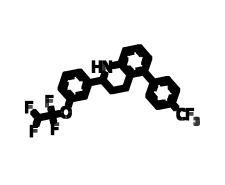 FC(F)C(F)(F)Oc1cccc(C2CCc3c(cccc3-c3ccc(C(F)(F)F)cc3)N2)c1